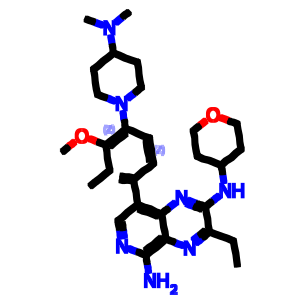 C=C(/C=C\C(=C(/CC)OC)N1CCC(N(C)C)CC1)c1cnc(N)c2nc(CC)c(NC3CCOCC3)nc12